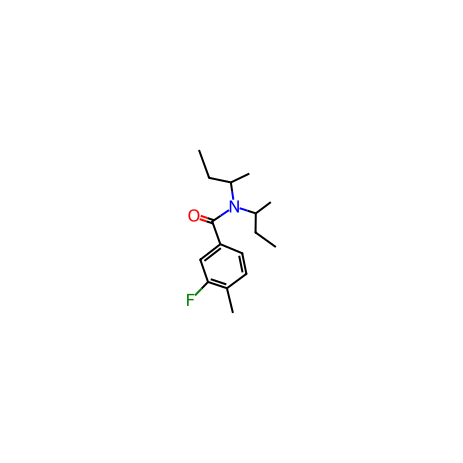 CCC(C)N(C(=O)c1ccc(C)c(F)c1)C(C)CC